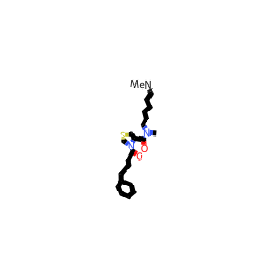 CNCCCCCCN(C)C(=O)C1CSCN1C(=O)CCCC1CCCCC1